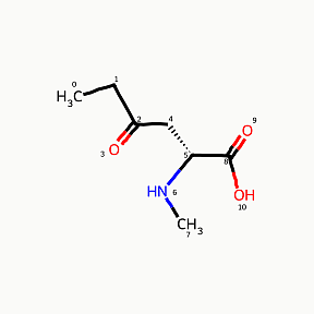 CCC(=O)C[C@@H](NC)C(=O)O